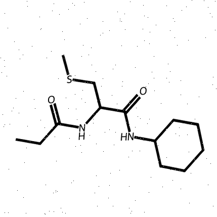 CCC(=O)NC(CSC)C(=O)NC1CCCCC1